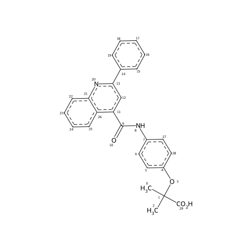 CC(C)(Oc1ccc(NC(=O)c2cc(-c3ccccc3)nc3ccccc23)cc1)C(=O)O